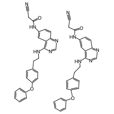 N#CCC(=O)Nc1ccc2ncnc(NCCc3ccc(Oc4ccccc4)cc3)c2c1.N#CCC(=O)Nc1ccc2ncnc(NCCc3ccc(Oc4ccccc4)cc3)c2c1